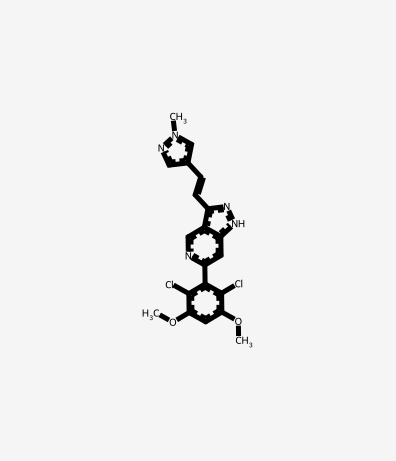 COc1cc(OC)c(Cl)c(-c2cc3[nH]nc(C=Cc4cnn(C)c4)c3cn2)c1Cl